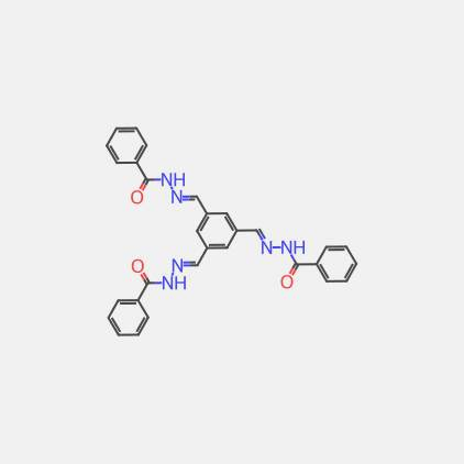 O=C(N/N=C/c1cc(/C=N/NC(=O)c2ccccc2)cc(/C=N/NC(=O)c2ccccc2)c1)c1ccccc1